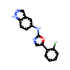 Clc1ccccc1-c1cnc(Nc2ccc3[nH]ncc3c2)o1